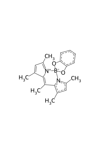 CC1=CC(C)=[N+]2C1=C(C)c1c(C)cc(C)n1[B-]21Oc2ccccc2O1